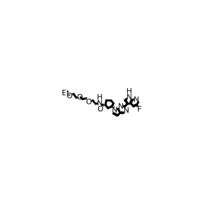 CCOCCOCCOCCNC(=O)[C@H]1CCC[C@H](n2ccc3cnc(-c4c[nH]c5ncc(F)cc45)nc32)C1